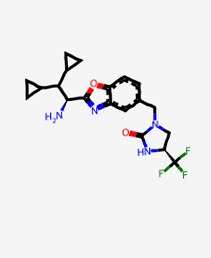 N[C@H](c1nc2cc(CN3C[C@@H](C(F)(F)F)NC3=O)ccc2o1)C(C1CC1)C1CC1